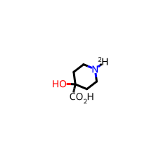 [2H]N1CCC(O)(C(=O)O)CC1